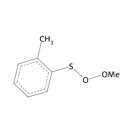 COOSc1ccccc1C